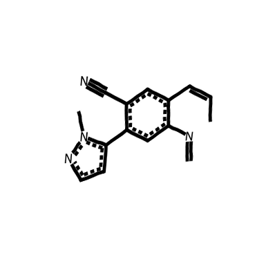 C=Nc1cc(-c2ccnn2C)c(C#N)cc1/C=C\C